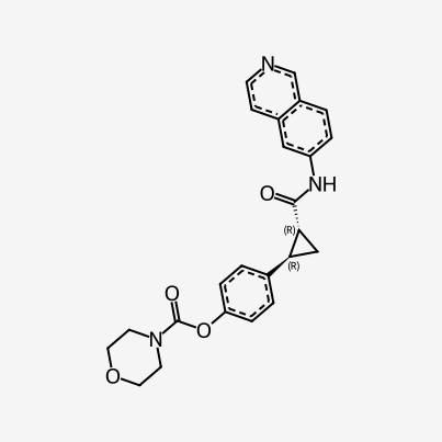 O=C(Nc1ccc2cnccc2c1)[C@@H]1C[C@H]1c1ccc(OC(=O)N2CCOCC2)cc1